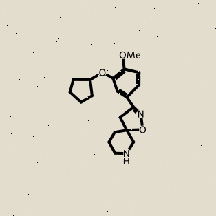 COc1ccc(C2=NOC3(CCCNC3)C2)cc1OC1CCCC1